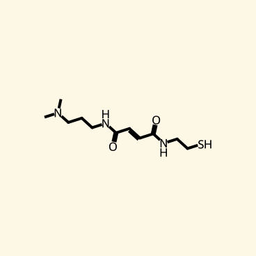 CN(C)CCCNC(=O)/C=C/C(=O)NCCS